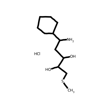 CSCC(O)C(O)CC(N)C1CCCCC1.Cl